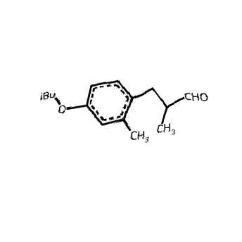 CCC(C)Oc1ccc(CC(C)C=O)c(C)c1